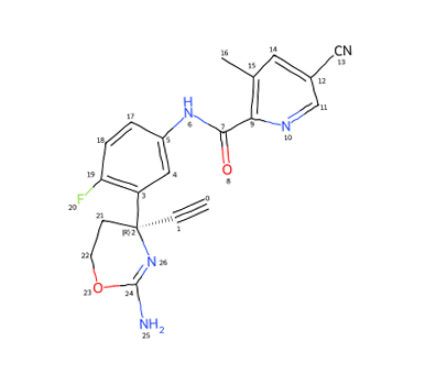 C#C[C@@]1(c2cc(NC(=O)c3ncc(C#N)cc3C)ccc2F)CCOC(N)=N1